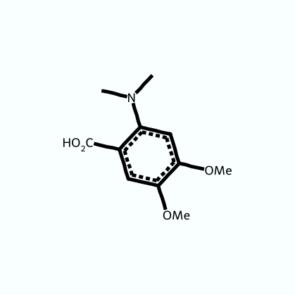 COc1cc(C(=O)O)c(N(C)C)cc1OC